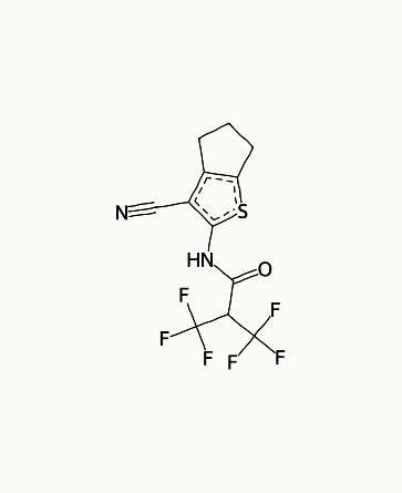 N#Cc1c(NC(=O)C(C(F)(F)F)C(F)(F)F)sc2c1CCC2